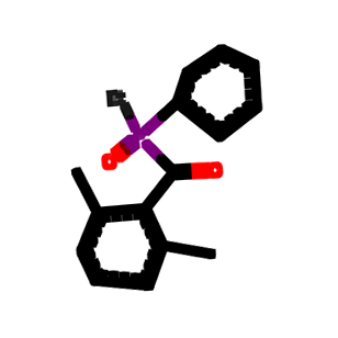 CCP(=O)(C(=O)c1c(C)cccc1C)c1ccccc1